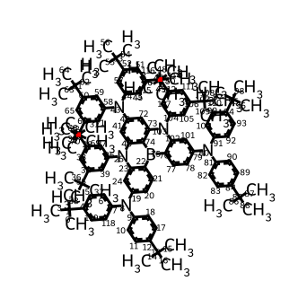 CC(C)(C)c1ccc(N(c2ccc(C(C)(C)C)cc2)c2ccc3c(c2)N(c2cc(C(C)(C)C)cc(C(C)(C)C)c2)c2cc(N(c4cc(C(C)(C)C)cc(C(C)(C)C)c4)c4cc(C(C)(C)C)cc(C(C)(C)C)c4)cc4c2B3c2ccc(N(c3ccc(C(C)(C)C)cc3)c3ccc(C(C)(C)C)cc3)cc2N4c2cc(C(C)(C)C)cc(C(C)(C)C)c2)cc1